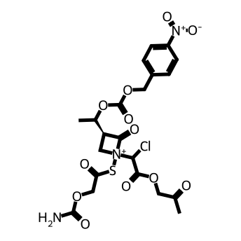 CC(=O)COC(=O)C(Cl)[N+]1(SC(=O)COC(N)=O)C[C@@H](C(C)OC(=O)OCc2ccc([N+](=O)[O-])cc2)C1=O